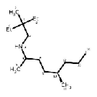 CCC(C)(CC)CNC(C)CC[C@H](C)CCI